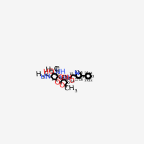 CN[C@H]1CC2OC3O[C@H](C)C[C@@H](NC(=O)Cc4ccc(-c5ccccc5)cn4)[C@]3(O)OC2[C@@H](NC)[C@H]1O